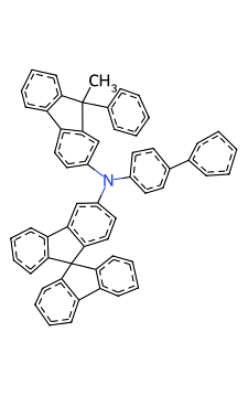 CC1(c2ccccc2)c2ccccc2-c2ccc(N(c3ccc(-c4ccccc4)cc3)c3ccc4c(c3)-c3ccccc3C43c4ccccc4-c4ccccc43)cc21